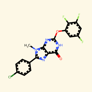 Cn1c(-c2ccc(Cl)cc2)nc2c(=O)[nH]c(Oc3cc(F)cc(F)c3F)nc21